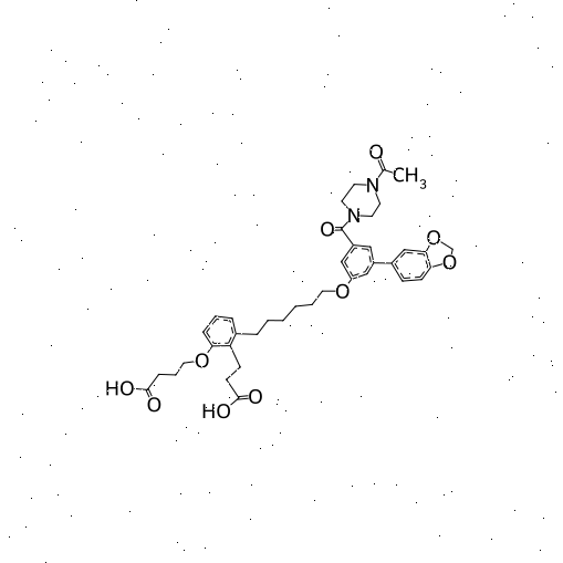 CC(=O)N1CCN(C(=O)c2cc(OCCCCCCc3cccc(OCCCC(=O)O)c3CCC(=O)O)cc(-c3ccc4c(c3)OCO4)c2)CC1